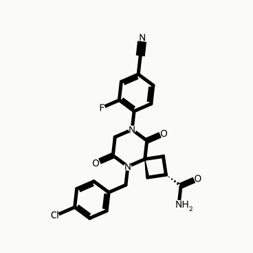 N#Cc1ccc(N2CC(=O)N(Cc3ccc(Cl)cc3)[C@]3(C[C@@H](C(N)=O)C3)C2=O)c(F)c1